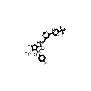 C[C@@H]1C(S(=O)(=O)c2ccc(F)cc2)[C@H](C(=O)NCc2cc(-c3cnc(C(F)(F)F)cn3)ncn2)C[C@H]1F